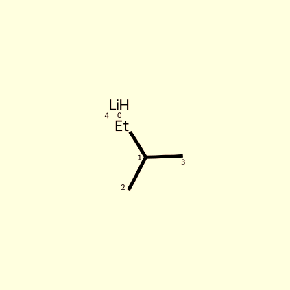 [CH2]CC(C)C.[LiH]